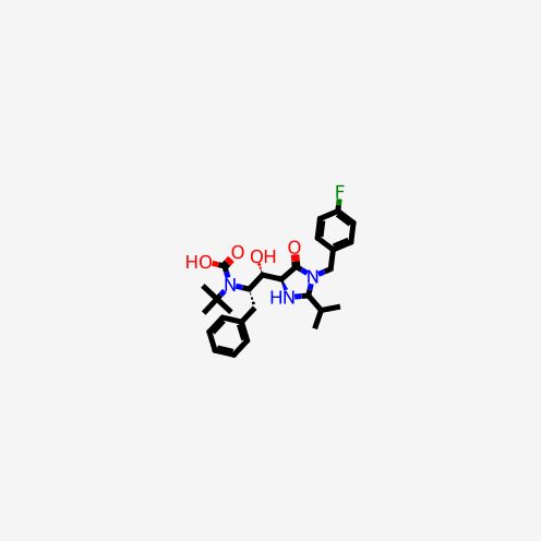 CC(C)C1N[C@@H]([C@@H](O)[C@H](Cc2ccccc2)N(C(=O)O)C(C)(C)C)C(=O)N1Cc1ccc(F)cc1